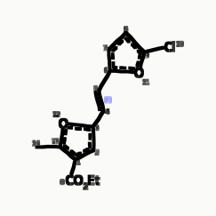 CCOC(=O)c1cc(/C=C/c2ccc(Cl)o2)oc1C